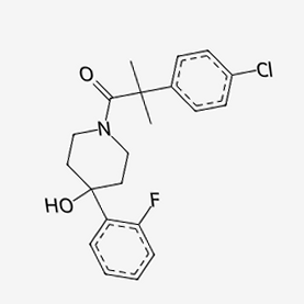 CC(C)(C(=O)N1CCC(O)(c2ccccc2F)CC1)c1ccc(Cl)cc1